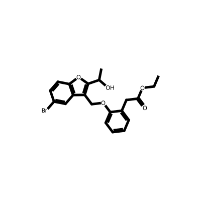 CCOC(=O)Cc1ccccc1OCc1c(C(C)O)oc2ccc(Br)cc12